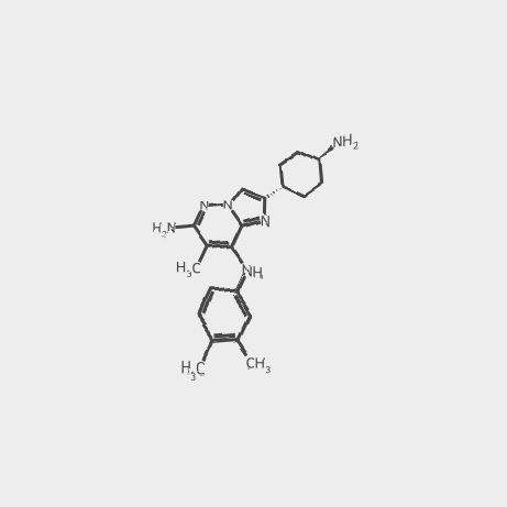 Cc1ccc(Nc2c(C)c(N)nn3cc([C@H]4CC[C@H](N)CC4)nc23)cc1C